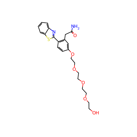 NC(=O)Cc1cc(OCCOCCOCCOCCO)ccc1-c1nc2ccccc2s1